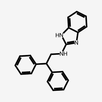 c1ccc(C(CNc2nc3ccccc3[nH]2)c2ccccc2)cc1